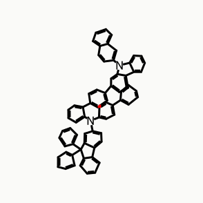 c1ccc(-c2ccc(N(c3ccc4c(c3)C(c3ccccc3)(c3ccccc3)c3ccccc3-4)c3ccccc3-c3ccc(-c4ccc5c6ccccc6n(-c6ccc7ccccc7c6)c5c4)cc3)cc2)cc1